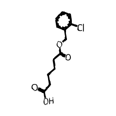 O=C(O)CCCCC(=O)OCc1ccccc1Cl